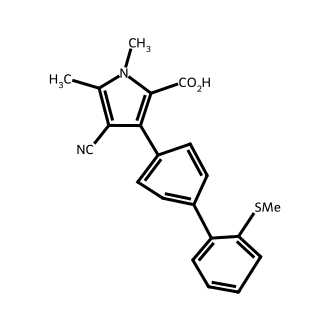 CSc1ccccc1-c1ccc(-c2c(C#N)c(C)n(C)c2C(=O)O)cc1